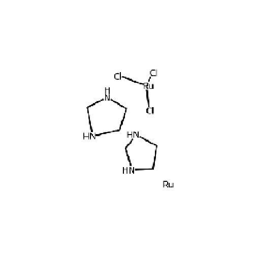 C1CNCN1.C1CNCN1.[Cl][Ru]([Cl])[Cl].[Ru]